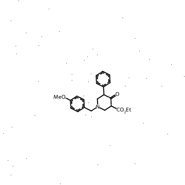 CCOC(=O)C1CN(Cc2ccc(OC)cc2)CC(c2ccccc2)C1=O